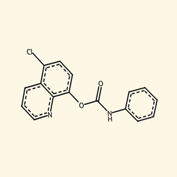 O=C(Nc1ccccc1)Oc1ccc(Cl)c2cccnc12